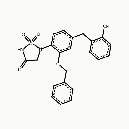 N#Cc1ccccc1Cc1ccc(N2CC(=O)NS2(=O)=O)c(OCc2ccccc2)c1